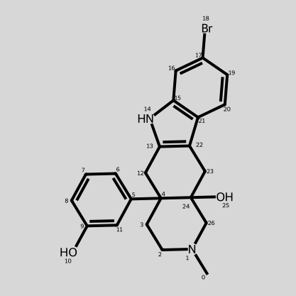 CN1CCC2(c3cccc(O)c3)Cc3[nH]c4cc(Br)ccc4c3CC2(O)C1